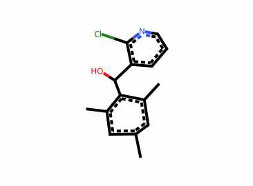 Cc1cc(C)c(C(O)c2cccnc2Cl)c(C)c1